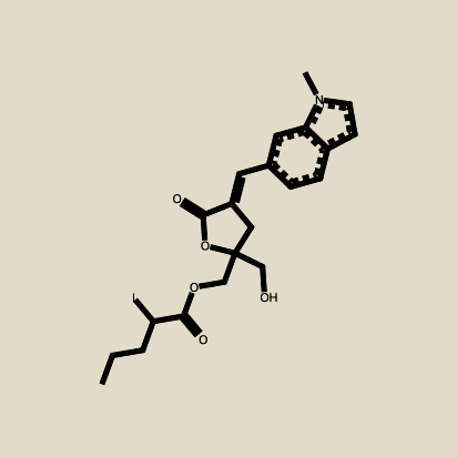 CCCC(I)C(=O)OCC1(CO)C/C(=C\c2ccc3ccn(C)c3c2)C(=O)O1